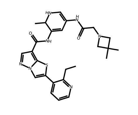 CCc1ncccc1-c1cn2ncc(C(=O)NC3=CC(NC(=O)CN4CC(C)(C)C4)=CNC3C)c2s1